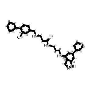 O=C(CCNCc1ccc(-c2ccccc2)c(Cl)c1)NCCCNc1cc(-c2ccncc2)cc2[nH]ncc12